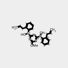 C=CCc1ccccc1N(O)c1nc(OC)nc(N(O)c2ccccc2CC=C)n1